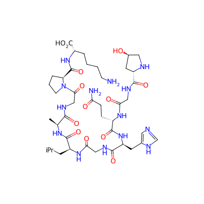 CC(C)C[C@H](NC(=O)CNC(=O)[C@H](Cc1cnc[nH]1)NC(=O)[C@H](CCC(N)=O)NC(=O)CNC(=O)[C@@H]1C[C@@H](O)CN1)C(=O)N[C@@H](C)C(=O)NCC(=O)N1CCC[C@H]1C(=O)N[C@@H](CCCCN)C(=O)O